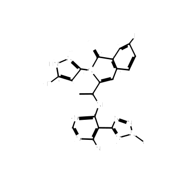 CC(Nc1ncnc(N)c1-c1nnn(C)n1)c1cc2ccc(F)cc2c(=O)n1-c1cc(F)[nH]n1